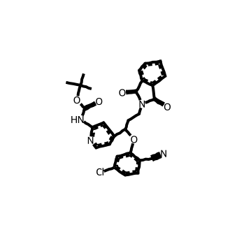 CC(C)(C)OC(=O)Nc1cc(C(CCN2C(=O)c3ccccc3C2=O)Oc2cc(Cl)ccc2C#N)ccn1